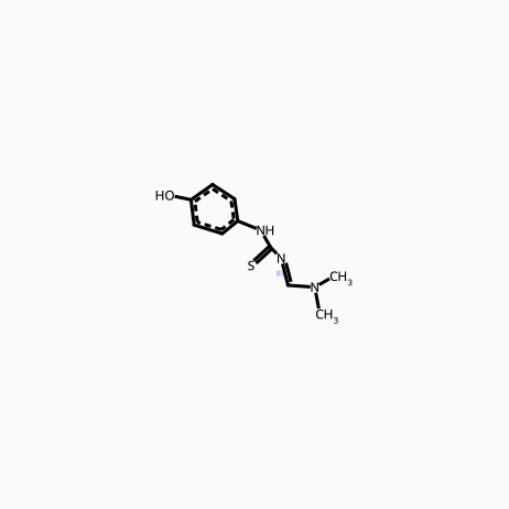 CN(C)/C=N/C(=S)Nc1ccc(O)cc1